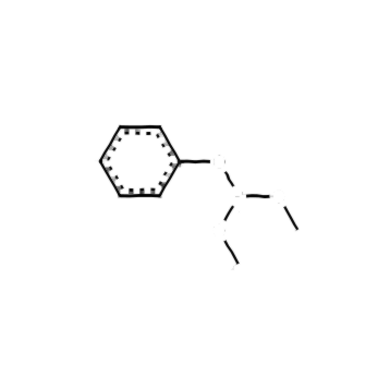 COP(OC)Oc1ccccc1